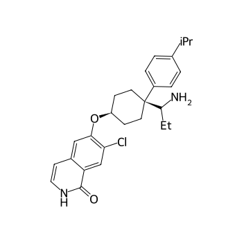 CCC(N)[C@]1(c2ccc(C(C)C)cc2)CC[C@H](Oc2cc3cc[nH]c(=O)c3cc2Cl)CC1